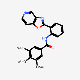 COc1cc(C(=O)Nc2ccccc2-c2nc3cnccc3o2)cc(OC)c1OC